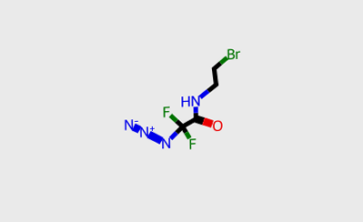 [N-]=[N+]=NC(F)(F)C(=O)NCCBr